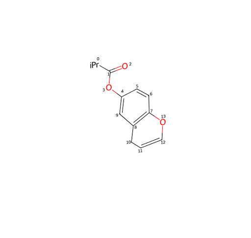 CC(C)C(=O)Oc1ccc2c(c1)CC=CO2